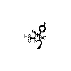 C#CCC1N=C(C(=O)O)[N+](=O)C(c2ccc(F)cc2)[N+]1=O